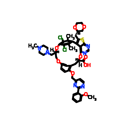 COc1ccccc1-c1nccc(COc2ccc3cc2C[C@H](C(=O)O)Oc2ncnc4sc(C[C@H]5COCCO5)c(c24)-c2c(C)c(Cl)c(c(Cl)c2C)O[C@H](CN2CCN(C)CC2)CO3)n1